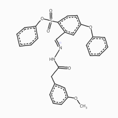 COc1cccc(CC(=O)N/N=C/c2cc(Oc3ccccc3)ccc2S(=O)(=O)Oc2ccccc2)c1